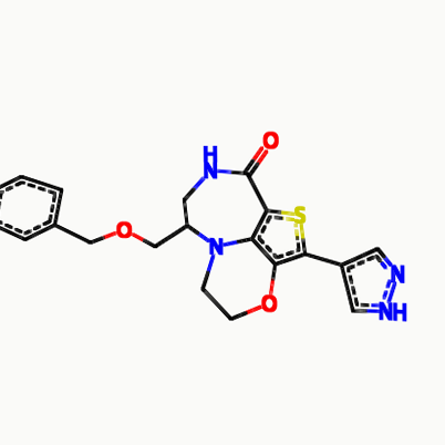 O=C1NCC(COCc2ccccc2)N2CCOc3c(-c4cn[nH]c4)sc1c32